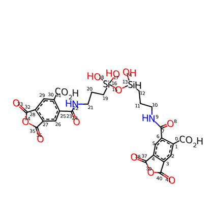 O=C(O)c1cc2c(cc1C(=O)NCCC[SiH](O)O[Si](O)(O)CCCNC(=O)c1cc3c(cc1C(=O)O)C(=O)OC3=O)C(=O)OC2=O